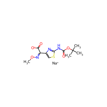 CON=C(C(=O)[O-])c1csc(NC(=O)OC(C)(C)C)n1.[Na+]